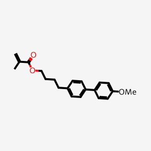 C=C(C)C(=O)OCCCCc1ccc(-c2ccc(OC)cc2)cc1